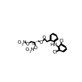 O=C(Cc1ccccc1Nc1c(Cl)cccc1Cl)OC[C@@H](CO[N+](=O)[O-])O[N+](=O)[O-]